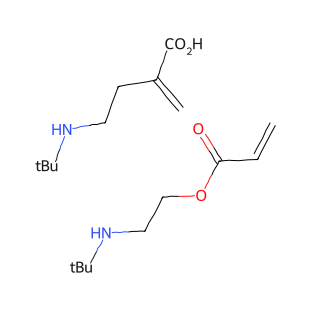 C=C(CCNC(C)(C)C)C(=O)O.C=CC(=O)OCCNC(C)(C)C